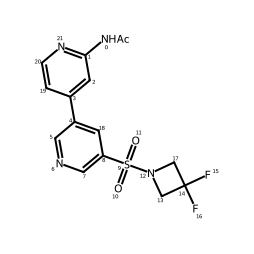 CC(=O)Nc1cc(-c2cncc(S(=O)(=O)N3CC(F)(F)C3)c2)ccn1